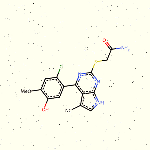 COc1cc(Cl)c(-c2nc(SCC(N)=O)nc3[nH]cc(C#N)c23)cc1O